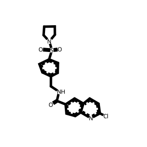 O=C(NCc1ccc(S(=O)(=O)N2CCCC2)cc1)c1ccc2nc(Cl)ccc2c1